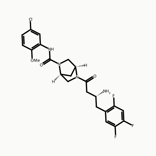 COc1ccc(Cl)cc1NC(=O)N1C[C@@H]2C[C@H]1CN2C(=O)C[C@H](N)Cc1cc(F)c(F)cc1F